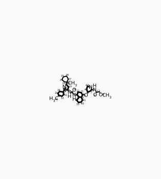 COCC(=O)Nc1cc(Oc2ccc(NC(=O)Nc3cc(C4(C)CCCCC4)nn3-c3ccc(C)cc3)c3ccccc23)ccn1